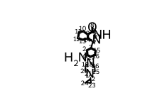 Nc1cc(-c2n[nH]c(=O)c3ccccc23)ccc1N1CCN(C2CC2)CC1